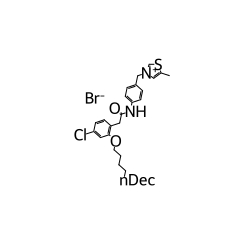 CCCCCCCCCCCCCCOc1cc(Cl)ccc1CC(=O)Nc1ccc(C[n+]2csc(C)c2)cc1.[Br-]